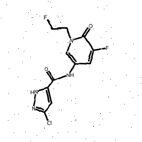 O=C(Nc1cc(F)c(=O)n(CCF)c1)c1cc(Cl)n[nH]1